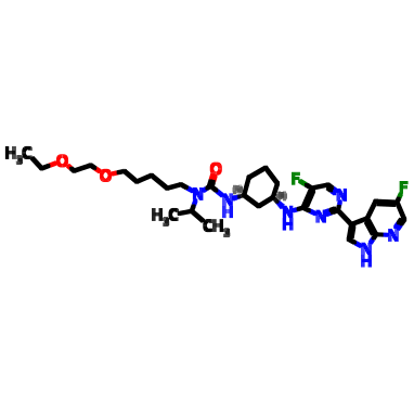 CCOCCOCCCCCN(C(=O)N[C@H]1CCC[C@@H](Nc2nc(-c3c[nH]c4ncc(F)cc34)ncc2F)C1)C(C)C